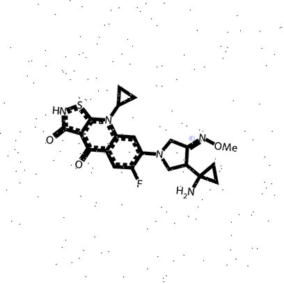 CO/N=C1/CN(c2cc3c(cc2F)c(=O)c2c(=O)[nH]sc2n3C2CC2)CC1C1(N)CC1